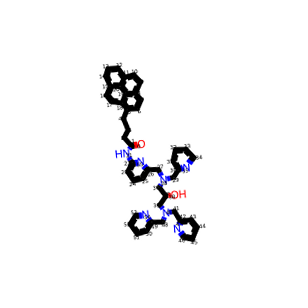 O=C(CCCc1ccc2ccc3cccc4ccc1c2c34)Nc1cccc(CN(Cc2ccccn2)CC(O)CN(Cc2ccccn2)Cc2ccccn2)n1